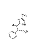 CCOC(=O)C(C(=O)c1nc([N+](=O)[O-])c[nH]1)c1ccccc1